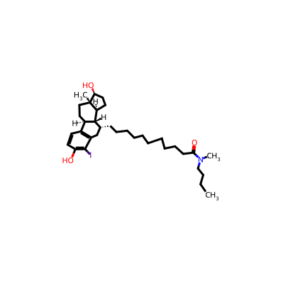 CCCCN(C)C(=O)CCCCCCCCCC[C@@H]1Cc2c(ccc(O)c2I)[C@H]2CC[C@]3(C)[C@@H](O)CC[C@H]3[C@H]12